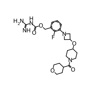 N=C(N)NC(=O)OCc1cccc(N2CC(OC3CCN(C(=O)C4CCOCC4)CC3)C2)c1F